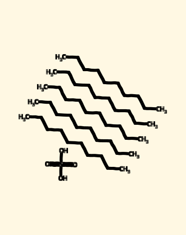 CCCCCCCCCC.CCCCCCCCCC.CCCCCCCCCC.CCCCCCCCCC.CCCCCCCCCC.O=S(=O)(O)O